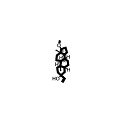 C=C[C@@]1(O)CC[C@@]2(C)[C@@H](CC[C@@H]3[C@@H]2CC[C@]2(C)[C@@H](OC)CC[C@@H]32)C1